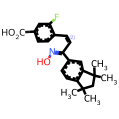 CC1(C)CC(C)(C)c2cc(C(/C=C\c3ccc(C(=O)O)cc3F)=NO)ccc21